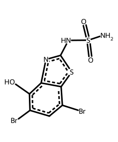 NS(=O)(=O)Nc1nc2c(O)c(Br)cc(Br)c2s1